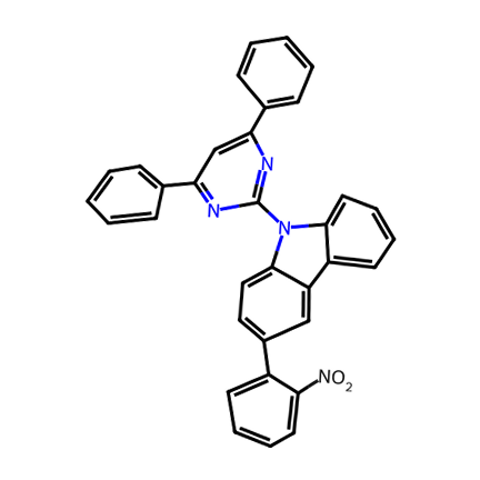 O=[N+]([O-])c1ccccc1-c1ccc2c(c1)c1ccccc1n2-c1nc(-c2ccccc2)cc(-c2ccccc2)n1